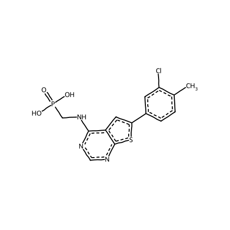 Cc1ccc(-c2cc3c(NCP(=O)(O)O)ncnc3s2)cc1Cl